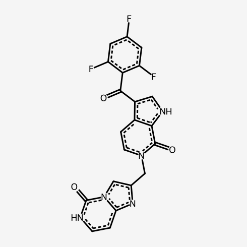 O=C(c1c(F)cc(F)cc1F)c1c[nH]c2c(=O)n(Cc3cn4c(=O)[nH]ccc4n3)ccc12